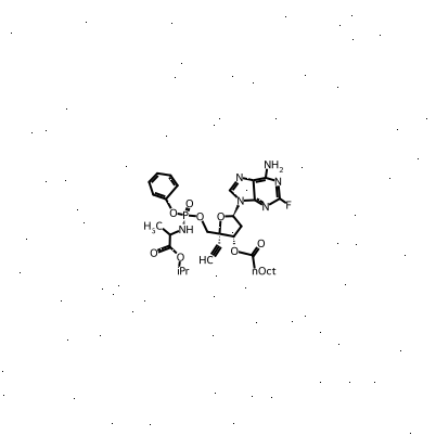 C#C[C@]1(CO[P@@](=O)(NC(C)C(=O)OC(C)C)Oc2ccccc2)O[C@@H](n2cnc3c(N)nc(F)nc32)C[C@@H]1OC(=O)CCCCCCCC